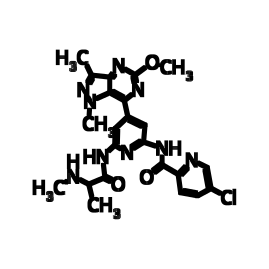 CNC(C)C(=O)Nc1cc(-c2nc(OC)nc3c(C)nn(C)c23)cc(NC(=O)c2ccc(Cl)cn2)n1